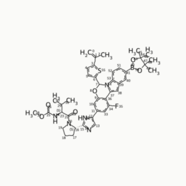 C=C(C)c1ccc(C2Oc3cc(-c4cnc([C@@H]5CCCN5C(=O)[C@@H](NC(=O)OC)C(C)C)[nH]4)cc(F)c3-c3cc4cc(B5OC(C)(C)C(C)(C)O5)ccc4n32)s1